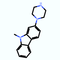 Cn1c2ccccc2c2ccc(N3CCNCC3)cc21